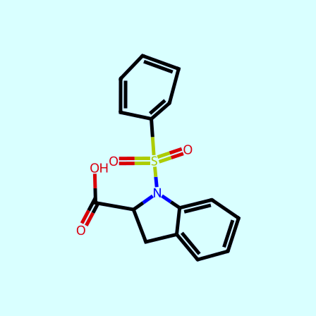 O=C(O)C1Cc2ccccc2N1S(=O)(=O)c1ccccc1